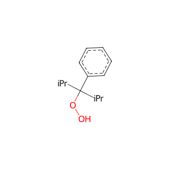 CC(C)C(OO)(c1ccccc1)C(C)C